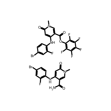 Cn1cc(C(=O)Oc2c(F)c(F)c(F)c(F)c2F)c(Nc2ccc(Br)cc2F)cc1=O.Cn1cc(C(N)=O)c(Nc2ccc(Br)cc2F)cc1=O